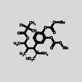 CCC(C)(C)C(=O)OC(C)C(C)C(c1ccc(OC(=O)OC(C)(C)C)c(OC(=O)OC(C)(C)C)c1)[C@H](N)C(=O)O